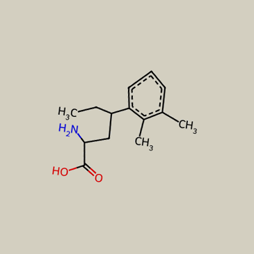 CCC(CC(N)C(=O)O)c1cccc(C)c1C